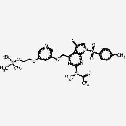 Cc1ccc(S(=O)(=O)n2cc(I)c3c(COc4cncc(OCCO[Si](C)(C)C(C)(C)C)c4)nc(N(C)C(=O)C(F)(F)F)nc32)cc1